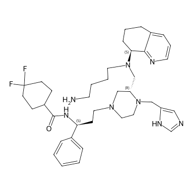 NCCCCN(C[C@H]1CN(CC[C@H](NC(=O)C2CCC(F)(F)CC2)c2ccccc2)CCN1Cc1cnc[nH]1)[C@H]1CCCc2cccnc21